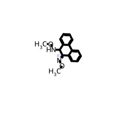 CO/N=C1\c2ccccc2-c2ccccc2C1NOC